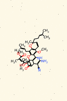 COC(=O)/C(C)=C\CC1(O)C(=O)C2CC(C(C)C)C13Oc1c(CC=C(C)C)c4c(c(OC)c1C1=C3C2C(C#N)=C(N)N1)C=CC(C)(CCC=C(C)C)O4